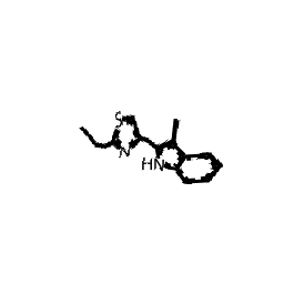 CCc1nc(-c2[nH]c3ccccc3c2C)cs1